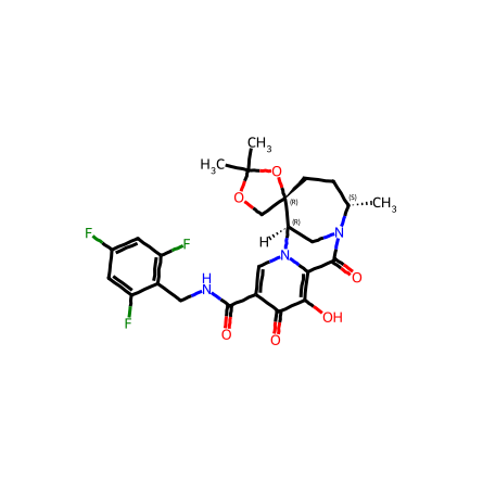 C[C@H]1CC[C@]2(COC(C)(C)O2)[C@H]2CN1C(=O)c1c(O)c(=O)c(C(=O)NCc3c(F)cc(F)cc3F)cn12